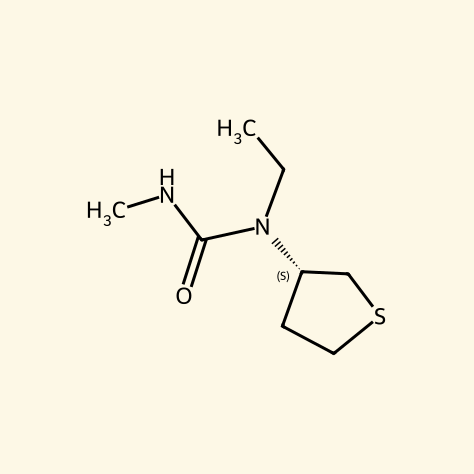 CCN(C(=O)NC)[C@H]1CCSC1